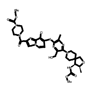 Cc1nc(N2CCC3(CC2)CO[C@@H](C)[C@H]3NC(=O)OC(C)(C)C)c(CO)nc1Sc1ccn2cc(C(=O)N3CCN(C(=O)OC(C)(C)C)CC3)nc2c1Cl